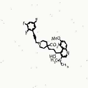 COc1ccc2ncc(N(C)C)c([C@H](O)CCC3(C(=O)O)CCN(CC#Cc4cc(F)cc(F)c4F)CC3)c2c1